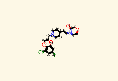 O=C1COCCN1CCC1CCN(C[C@H]2COc3c(Cl)cc(F)cc3O2)CC1